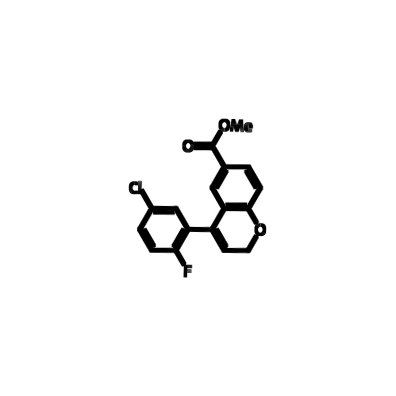 COC(=O)c1ccc2c(c1)C(c1cc(Cl)ccc1F)=CCO2